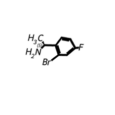 C[C@H](N)c1ccc(F)cc1Br